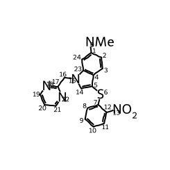 CNc1ccc2c(Sc3ccccc3[N+](=O)[O-])cn(Cc3ncccn3)c2c1